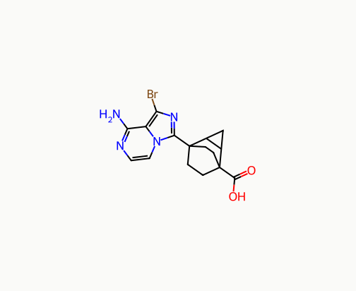 Nc1nccn2c(C34CCC(C(=O)O)(CC3)C3CC34)nc(Br)c12